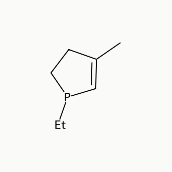 CCP1C=C(C)CC1